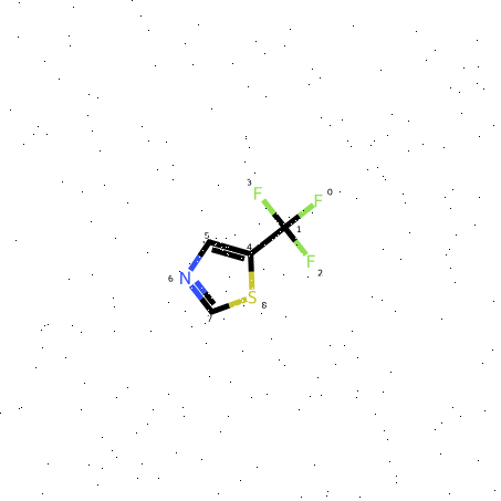 FC(F)(F)c1[c]n[c]s1